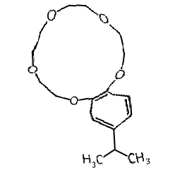 CC(C)c1ccc2c(c1)OCCOCCOCCOCCO2